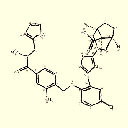 Cc1ccc(OCc2ccc(C(=O)N(C)Cc3ncc[nH]3)cc2C)c(-c2csc(N3C[C@H]4CC[C@@H](C3)[C@H]4C(=O)O)n2)c1